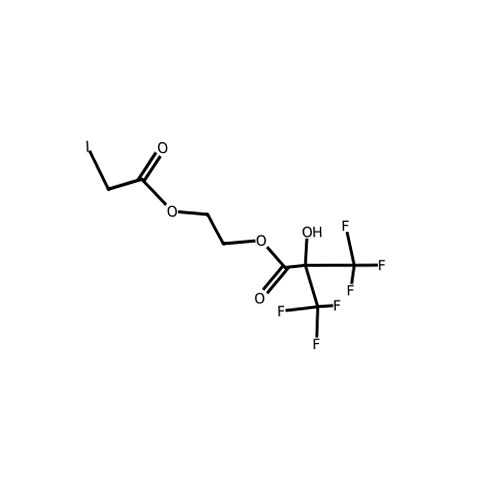 O=C(CI)OCCOC(=O)C(O)(C(F)(F)F)C(F)(F)F